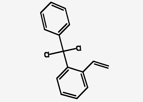 C=Cc1ccccc1C(Cl)(Cl)c1ccccc1